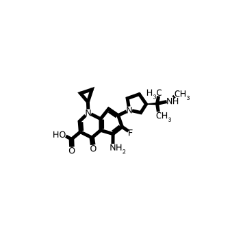 CNC(C)(C)[C@@H]1CCN(c2cc3c(c(N)c2F)c(=O)c(C(=O)O)cn3C2CC2)C1